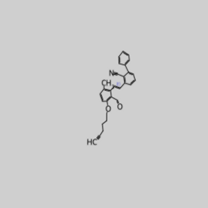 C#CCCCCOc1ccc(C)c(/C=C/c2cccc(-c3ccccc3)c2C#N)c1C=O